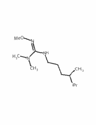 CO/N=C(/NCCCC(C)C(C)C)N(C)C